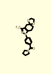 O=C(c1ccc(-n2nc(C(F)(F)F)c3c2CCC2(C3)OCCO2)cc1)N1CCCC1